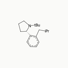 CC(C)Cc1ccccc1[C@@H]1CCCN1C(C)(C)C